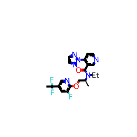 CCN(C(=O)c1cnccc1-n1nccn1)[C@@H](C)COc1ncc(C(C)(F)F)cc1F